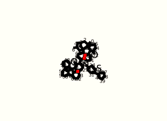 CC1CC2CC(C)CC(c3ccc(-c4c(N(c5ccc6c(c5)oc5ccccc56)c5ccc6c(c5)sc5ccccc56)ccc5c4Oc4ccccc4C54c5ccccc5-c5ccccc54)cc3)(C1)C2